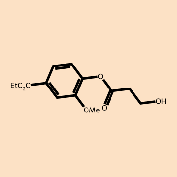 CCOC(=O)c1ccc(OC(=O)CCO)c(OC)c1